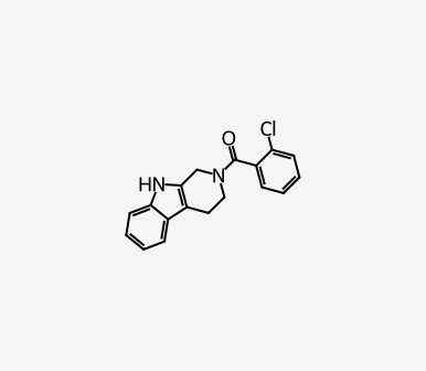 O=C(c1ccccc1Cl)N1CCc2c([nH]c3ccccc23)C1